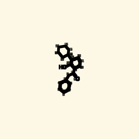 O=C(Cc1ccccc1)c1cccc(C2CCCCC2)c1O